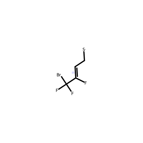 F/C(=C\C[S])C(F)(F)Br